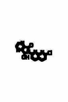 O=C1c2nccnc2C(O)N1c1ccc2ccc(Cl)nc2n1